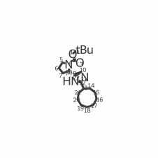 CC(C)(C)OC(=O)N1CCC[C@H]1c1cnc(C2CCCCCCCC2)[nH]1